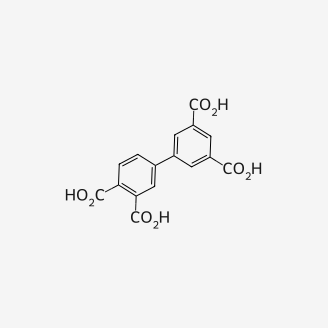 O=C(O)c1cc(C(=O)O)cc(-c2ccc(C(=O)O)c(C(=O)O)c2)c1